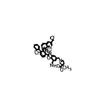 Cc1ccccc1C1=CC=CC(Nc2nccc3cc(C=O)cnc23)(c2nc3cc(CN4CC[C@@](C)(C(=O)O)C4)cc(C#N)c3o2)C1C